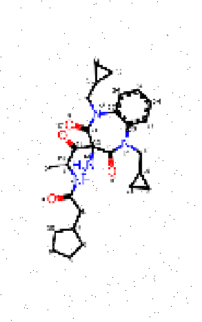 C[C@H](NC(=O)CC1CCCC1)C(=O)C1(N)C(=O)N(CC2CC2)c2ccccc2N(CC2CC2)C1=O